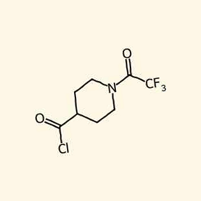 O=C(Cl)C1CCN(C(=O)C(F)(F)F)CC1